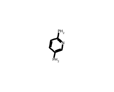 Pc1ccc(P)nc1